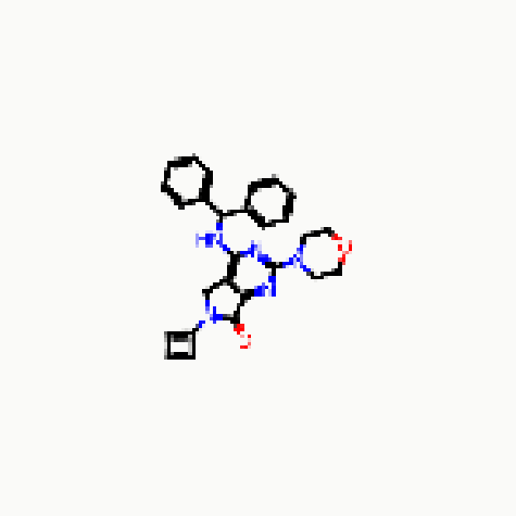 O=C1c2nc(N3CCOCC3)nc(NC(c3ccccc3)c3ccccc3)c2CN1C1=CC=C1